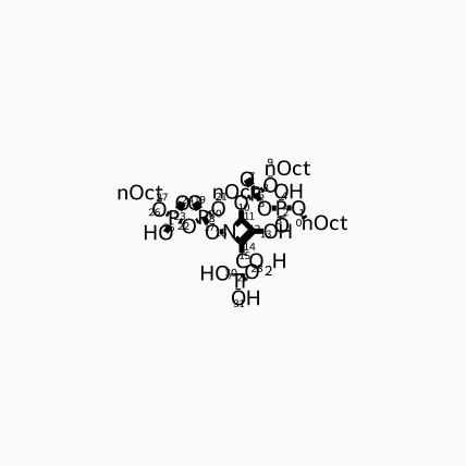 CCCCCCCCOP(=O)(O)OP(=O)(OCCCCCCCC)OC1C(O)=C(C(=O)O)N1OP(=O)(OCCCCCCCC)OP(=O)(O)OCCCCCCCC.[O]=[Ti]([OH])[OH]